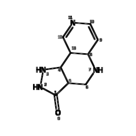 O=C1NNC2C1CNC1C=CN=CC12